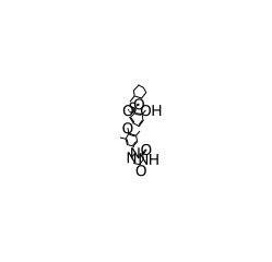 Cc1cc(-n2ncc(=O)[nH]c2=O)cc(C)c1Oc1ccc(O)c(S(=O)(=O)CC2CCCCC2)c1